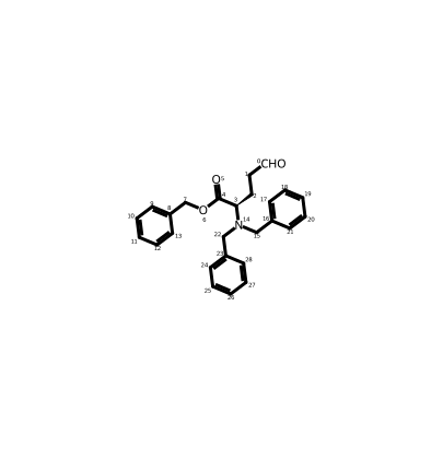 O=CCC[C@H](C(=O)OCc1ccccc1)N(Cc1ccccc1)Cc1ccccc1